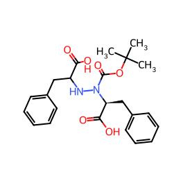 CC(C)(C)OC(=O)N(NC(Cc1ccccc1)C(=O)O)[C@@H](Cc1ccccc1)C(=O)O